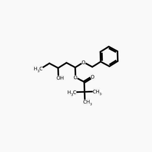 CCC(O)CC(OCc1ccccc1)OC(=O)C(C)(C)C